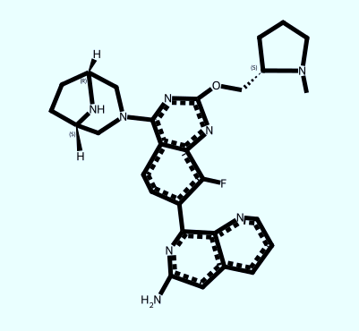 CN1CCC[C@H]1COc1nc(N2C[C@H]3CC[C@@H](C2)N3)c2ccc(-c3nc(N)cc4cccnc34)c(F)c2n1